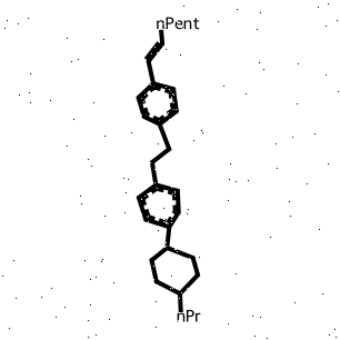 CCCCC/C=C/c1ccc(CCc2ccc(C3CCC(CCC)CC3)cc2)cc1